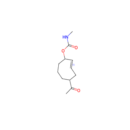 CNC(=O)OC1/C=C/CC(C(C)=O)CCC1